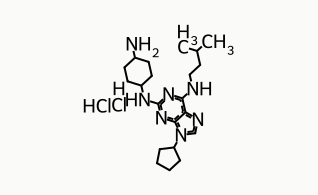 CC(C)CCNc1nc(NC2CCC(N)CC2)nc2c1ncn2C1CCCC1.Cl.Cl